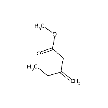 C=C([CH]C(=O)OC)CC